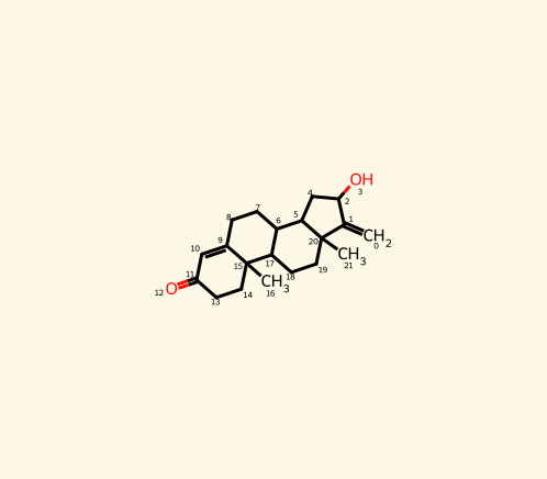 C=C1C(O)CC2C3CCC4=CC(=O)CCC4(C)C3CCC12C